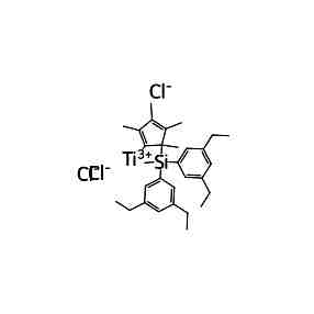 CCc1cc(CC)cc([Si](C)(c2cc(CC)cc(CC)c2)C2(C)C(C)=C(C)C(C)=[C]2[Ti+3])c1.[Cl-].[Cl-].[Cl-]